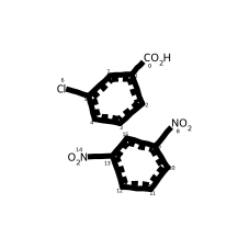 O=C(O)c1cccc(Cl)c1.O=[N+]([O-])c1cccc([N+](=O)[O-])c1